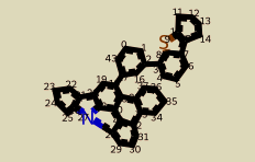 c1cc(-c2cccc3c2sc2ccccc23)cc(-c2cc3c4ccccc4n4c5cccc6c7ccccc7c2c(c65)c34)c1